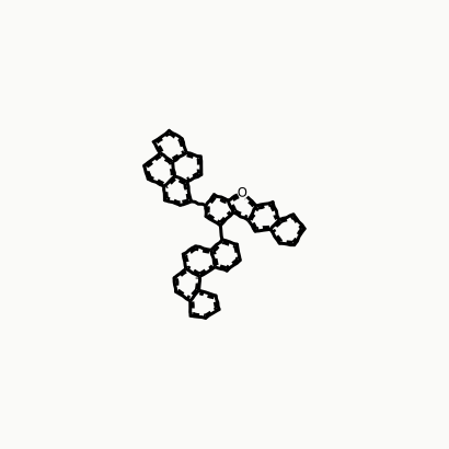 c1ccc2cc3c(cc2c1)oc1cc(-c2ccc4ccc5cccc6ccc2c4c56)cc(-c2cccc4c2ccc2ccc5ccccc5c24)c13